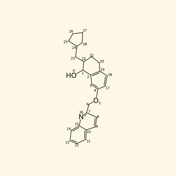 OC1c2cc(OCc3ccc4ccccc4n3)ccc2CCC1CC1CCCC1